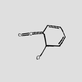 O=C=C1C=CC=CC1Cl